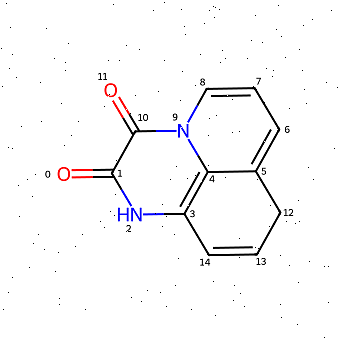 O=c1[nH]c2c3c(cccn3c1=O)CC=C2